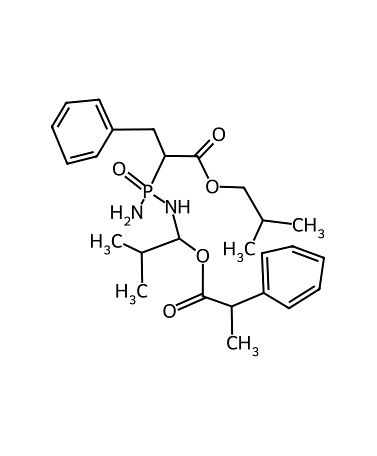 CC(C)COC(=O)C(Cc1ccccc1)P(N)(=O)NC(OC(=O)C(C)c1ccccc1)C(C)C